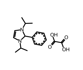 CC(C)N1C=CN(C(C)C)C1c1ccccc1.O=C(O)C(=O)O